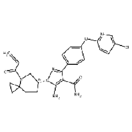 C=CC(=O)N1C[C@H](n2nc(-c3ccc(Oc4ccc(Cl)cn4)cc3)c(C(N)=O)c2N)CCC12CC2